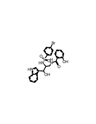 O=C(NCC(NS(=O)(=O)c1ccc(Br)cc1)C(O)c1c[nH]c2ccccc12)c1ccccc1O